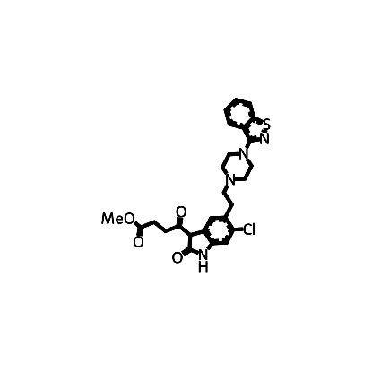 COC(=O)CCC(=O)C1C(=O)Nc2cc(Cl)c(CCN3CCN(c4nsc5ccccc45)CC3)cc21